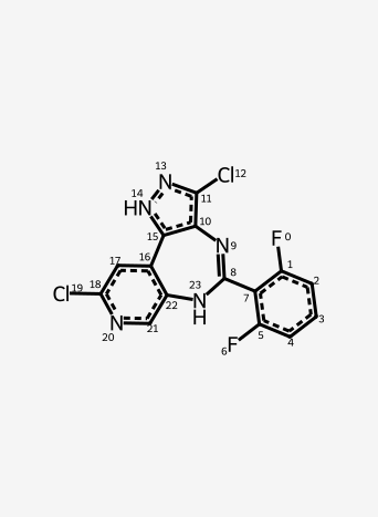 Fc1cccc(F)c1C1=Nc2c(Cl)n[nH]c2-c2cc(Cl)ncc2N1